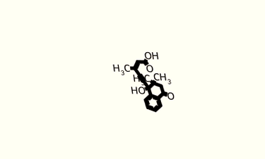 CC(C#CC1(O)c2ccccc2C(=O)CC1(C)C)=CC(=O)O